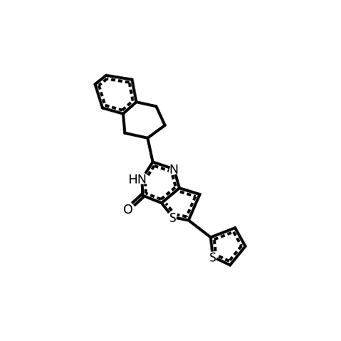 O=c1[nH]c(C2CCc3ccccc3C2)nc2cc(-c3cccs3)sc12